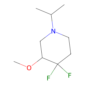 COC1CN(C(C)C)CCC1(F)F